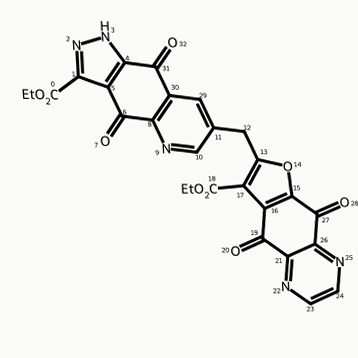 CCOC(=O)c1n[nH]c2c1C(=O)c1ncc(Cc3oc4c(c3C(=O)OCC)C(=O)c3nccnc3C4=O)cc1C2=O